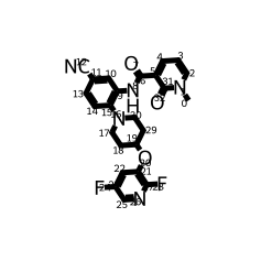 Cn1cccc(C(=O)Nc2cc(C#N)ccc2N2CCC(Oc3cc(F)cnc3F)CC2)c1=O